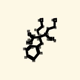 NN(CCCl)[C@@](CCCl)(Cc1ccccc1)C(=O)O